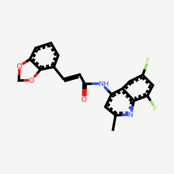 Cc1cc(NC(=O)/C=C/c2cccc3c2OCO3)c2cc(F)cc(F)c2n1